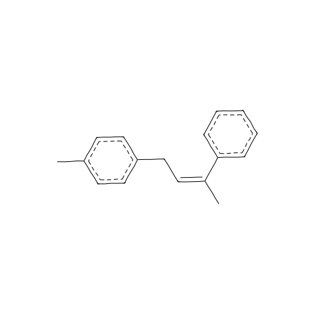 CC(=CCc1ccc(C)cc1)c1ccccc1